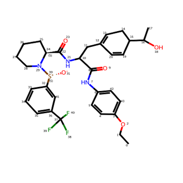 CCOc1ccc(NC(=O)C(CC2=CCC(C(C)O)C=C2)NC(=O)[C@@H]2CCCCN2[S@+]([O-])c2cccc(C(F)(F)F)c2)cc1